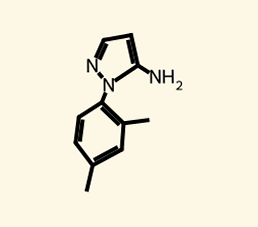 Cc1ccc(-n2nccc2N)c(C)c1